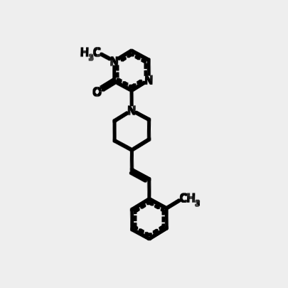 Cc1ccccc1C=CC1CCN(c2nccn(C)c2=O)CC1